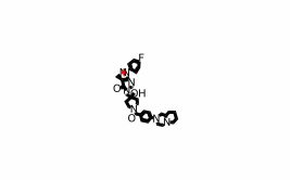 O=C(c1ccc(N2CCN3CCCCC3C2)cc1)N1CCC(O)(Cn2cnc3c(cnn3-c3ccc(F)cc3)c2=O)CC1